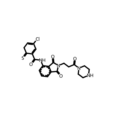 O=C(Nc1cccc2c1C(=O)N(CCC(=O)N1CCNCC1)C2=O)C1=CC(Cl)=CCC1=S